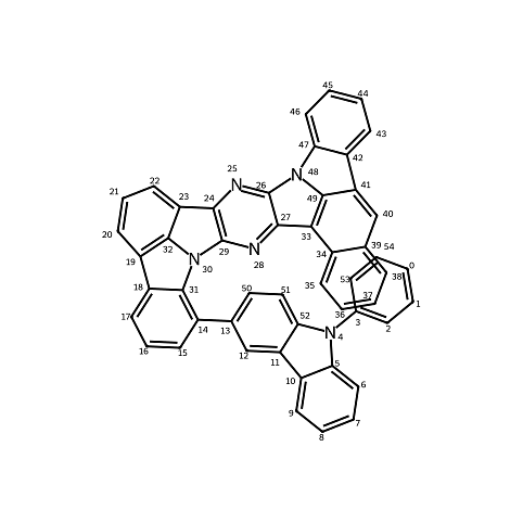 c1ccc(-n2c3ccccc3c3cc(-c4cccc5c6cccc7c8nc9c(nc8n(c45)c67)c4c5ccccc5cc5c6ccccc6n9c54)ccc32)cc1